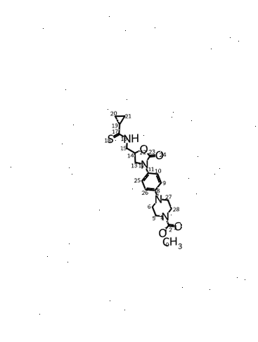 COC(=O)N1CCN(c2ccc(N3CC(CNC(=S)C4CC4)OC3=O)cc2)CC1